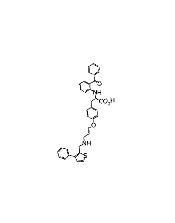 O=C(c1ccccc1)c1ccccc1NC(Cc1ccc(OCCCNCc2sccc2-c2ccccc2)cc1)C(=O)O